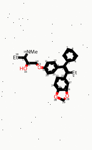 CCC(=C(c1ccccc1)c1ccc(OCC(O)C(CC)NC)cc1)c1ccc2c(c1)OCO2